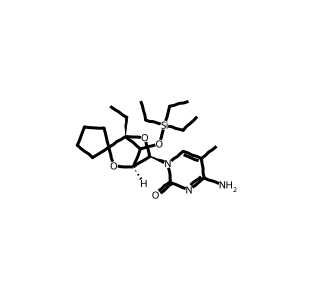 CC[C@]12O[C@@H](n3cc(C)c(N)nc3=O)[C@@H](OC13CCCC3)C2O[Si](CC)(CC)CC